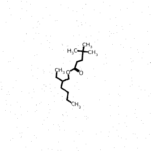 CCCCC(CC)COC(=O)CCC(C)(C)C